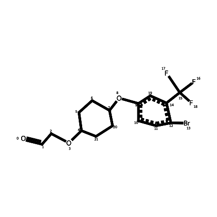 O=CCOC1CCC(Oc2ccc(Br)c(C(F)(F)F)c2)CC1